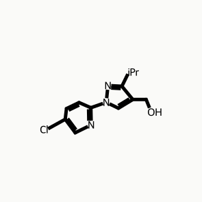 CC(C)c1nn(-c2ccc(Cl)cn2)cc1CO